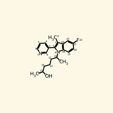 Cc1c(-c2cccnc2)n(C(C)CCCC(C)O)c2ccc(F)cc12